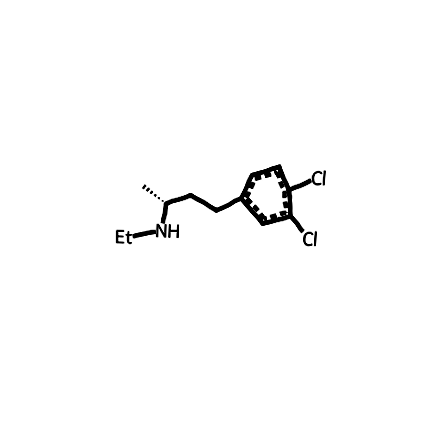 CCN[C@H](C)CCc1ccc(Cl)c(Cl)c1